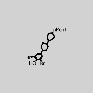 CCCCCC1CCC(C2CCC(c3cc(Br)c(O)c(Br)c3)CC2)CC1